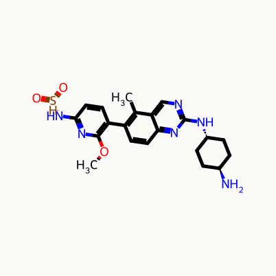 COc1nc(N[SH](=O)=O)ccc1-c1ccc2nc(N[C@H]3CC[C@H](N)CC3)ncc2c1C